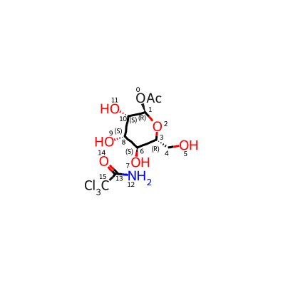 CC(=O)O[C@H]1O[C@H](CO)[C@@H](O)[C@H](O)[C@@H]1O.NC(=O)C(Cl)(Cl)Cl